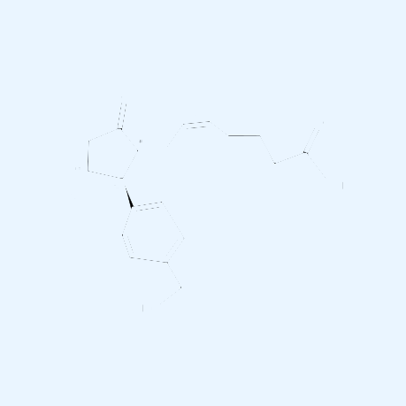 O=C(O)CCC/C=C\C[C@H]1C(=O)C[C@@H](O)[C@@H]1c1ccc(CO)cc1